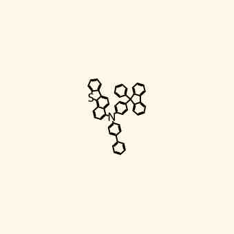 c1ccc(-c2ccc(N(c3ccc(C4(c5ccccc5)c5ccccc5-c5ccccc54)cc3)c3cccc4c3ccc3c5ccccc5sc43)cc2)cc1